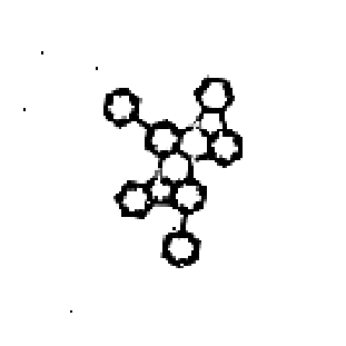 C1=CC2c3cccc4c3N(c3cc(-c5ccccc5)cc5c3B4c3ccc(-c4ccccc4)c4c6ccccc6n-5c34)C2C=C1